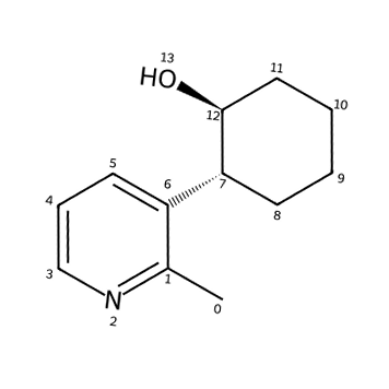 Cc1ncccc1[C@H]1CCCC[C@@H]1O